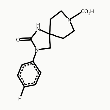 O=C(O)N1CCC2(CC1)CN(c1ccc(F)cc1)C(=O)N2